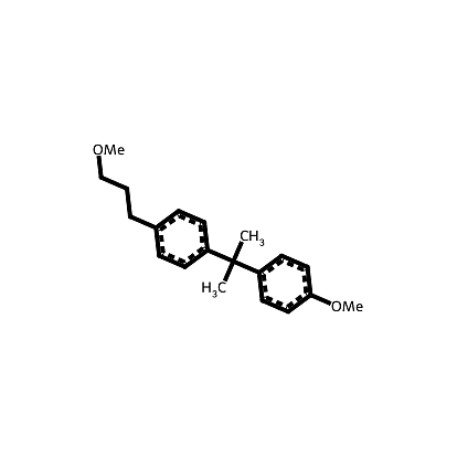 COCCCc1ccc(C(C)(C)c2ccc(OC)cc2)cc1